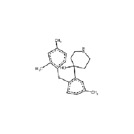 Cc1ccc(Sc2ccc(C)cc2C2(O)CCNCC2)c(C)c1